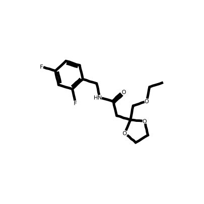 CCOCC1(CC(=O)NCc2ccc(F)cc2F)OCCO1